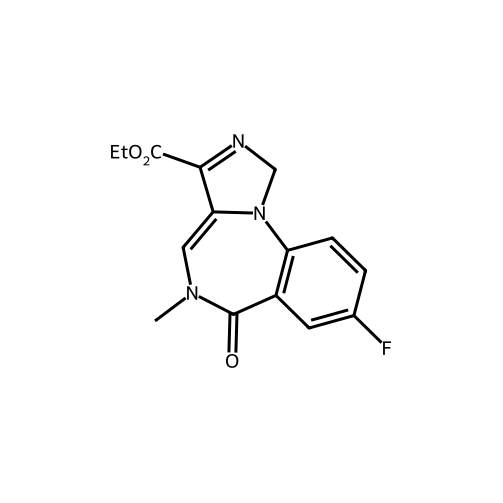 CCOC(=O)C1=NCN2C1=CN(C)C(=O)c1cc(F)ccc12